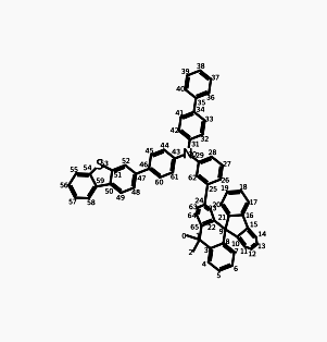 CC1(C)c2ccccc2C2(c3ccccc3-c3ccccc32)c2cc(-c3cccc(N(c4ccc(-c5ccccc5)cc4)c4ccc(-c5ccc6c(c5)sc5ccccc56)cc4)c3)ccc21